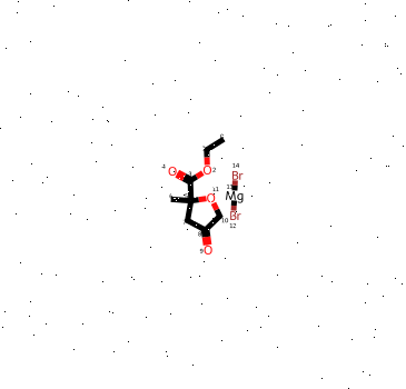 CCOC(=O)C1(C)CC(=O)CO1.[Br][Mg][Br]